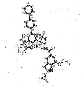 COc1cc(C(=O)NCC(O)(c2cc3c(c(-c4ccc(-c5ccccc5)cc4)n2)OC[C@]3(C)C(N)=O)C(F)(F)F)cc2cn(C3CC3)nc12